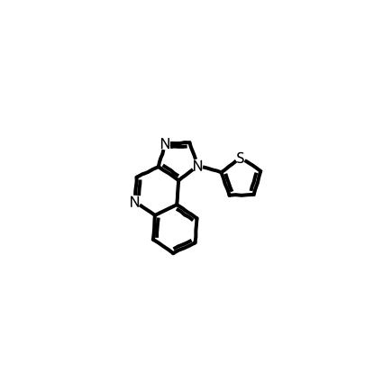 c1csc(-n2cnc3cnc4ccccc4c32)c1